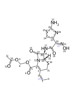 C/C=C\C1=C(C(=O)OCOC(C)=O)N2C(=O)[C@@H](NC(=O)/C(=N\O)c3csc(N)n3)[C@@H]2SC1